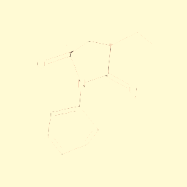 CCC1CC(=O)N(c2ccccc2)C1=O